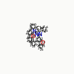 Cc1c(-c2ccccc2)nc(-c2cc(-c3ccccc3)c3c(c2)oc2ccccc23)nc1-n1c2ccccc2c2ccc3c4ccccc4oc3c21